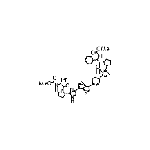 COC(=O)NC(C(=O)N1CCCC1c1ncc(-c2ccc(-c3csc4c(-c5c[nH]c(C6CCCN6C(=O)[C@@H](NC(=O)OC)C(C)C)n5)csc34)cc2)[nH]1)c1ccccc1